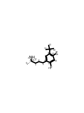 C[C@H](N)CCCc1cc(C(C)(C)C)c(F)cc1F